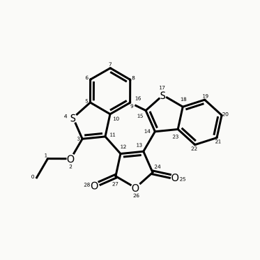 CCOc1sc2ccccc2c1C1=C(c2c(C)sc3ccccc23)C(=O)OC1=O